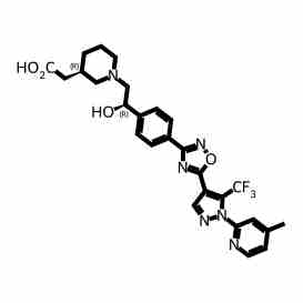 Cc1ccnc(-n2ncc(-c3nc(-c4ccc([C@@H](O)CN5CCC[C@H](CC(=O)O)C5)cc4)no3)c2C(F)(F)F)c1